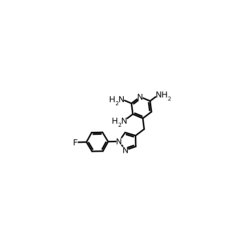 Nc1cc(Cc2cnn(-c3ccc(F)cc3)c2)c(N)c(N)n1